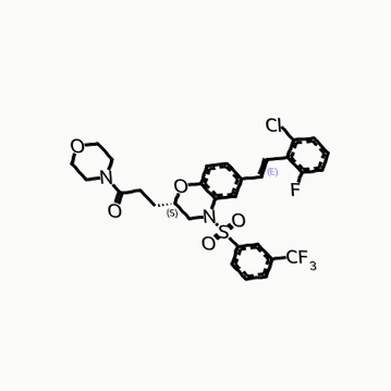 O=C(CC[C@H]1CN(S(=O)(=O)c2cccc(C(F)(F)F)c2)c2cc(/C=C/c3c(F)cccc3Cl)ccc2O1)N1CCOCC1